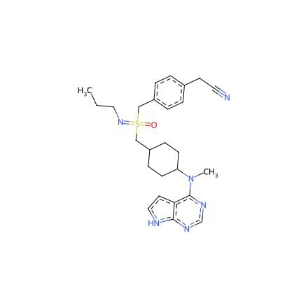 CCCN=S(=O)(Cc1ccc(CC#N)cc1)CC1CCC(N(C)c2ncnc3[nH]ccc23)CC1